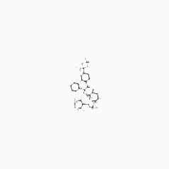 CC1(O)CC(N)(c2ccc(-c3nc4ccc5nnc(-c6cncnc6)n5c4nc3-c3ccccc3)cc2)C1